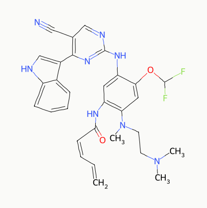 C=C/C=C\C(=O)Nc1cc(Nc2ncc(C#N)c(-c3c[nH]c4ccccc34)n2)c(OC(F)F)cc1N(C)CCN(C)C